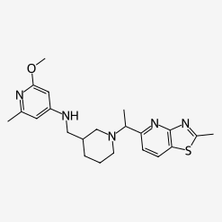 COc1cc(NCC2CCCN(C(C)c3ccc4sc(C)nc4n3)C2)cc(C)n1